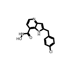 O=C(NO)c1ccnc2cc(Cc3ccc(Cl)cc3)[nH]c12